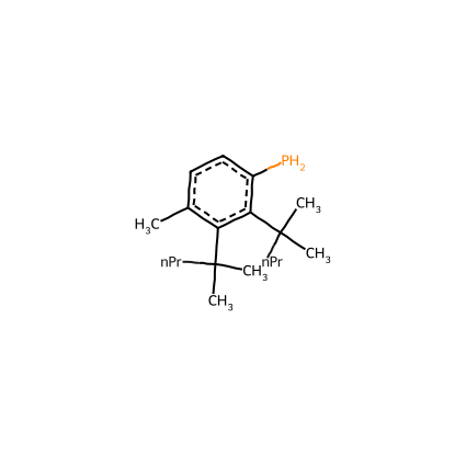 CCCC(C)(C)c1c(C)ccc(P)c1C(C)(C)CCC